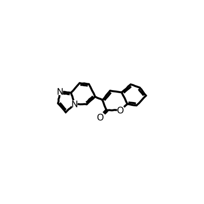 O=c1oc2ccccc2cc1-c1ccc2nccn2c1